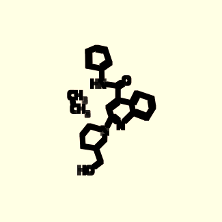 CC.O=C(Nc1ccccc1)c1cc(N2CCCC(CO)C2)nc2ccccc12